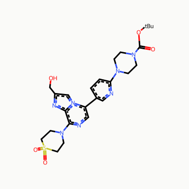 CC(C)(C)OC(=O)N1CCN(c2ccc(-c3cnc(N4CCS(=O)(=O)CC4)c4nc(CO)cn34)cn2)CC1